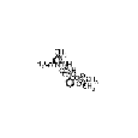 COc1cc(C)nc(NC(=O)NS(=O)(=O)c2ccccc2OS(=O)(=O)N(C)C)n1